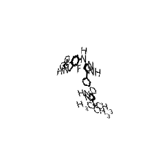 CC(C)(C)c1cc(OC2CCC(c3cc(Nc4ccc5c(c4F)CNS5(=O)=O)n[nH]3)C2)[nH]n1